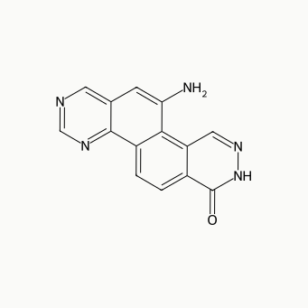 Nc1cc2cncnc2c2ccc3c(=O)[nH]ncc3c12